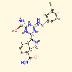 NC(=O)C1=CC=CC2C(c3nc(NCc4cccc(F)c4)nc(C(N)=O)n3)=NSC12